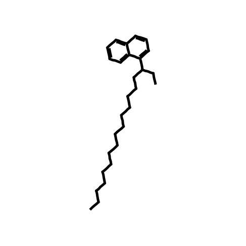 CCCCCCCCCCCCCCCC(CC)c1cccc2ccccc12